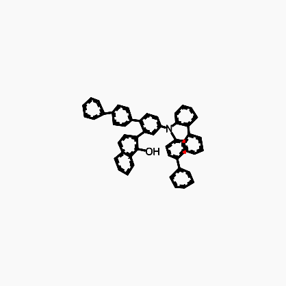 Oc1c(-c2cc(N(c3ccc(-c4ccccc4)cc3)c3ccccc3-c3ccccc3)ccc2-c2ccc(-c3ccccc3)cc2)ccc2ccccc12